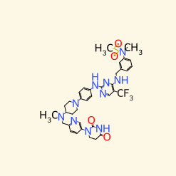 CN(Cc1ccc(N2CCC(=O)NC2=O)cn1)C1CCN(c2ccc(Nc3ncc(C(F)(F)F)c(NCc4cccc(N(C)S(C)(=O)=O)c4)n3)cc2)CC1